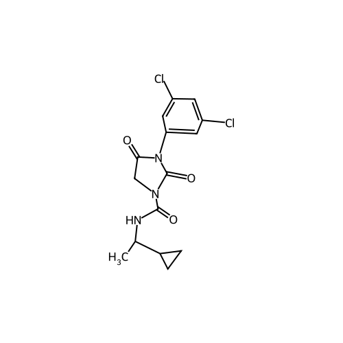 CC(NC(=O)N1CC(=O)N(c2cc(Cl)cc(Cl)c2)C1=O)C1CC1